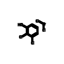 Oc1cccc(Cl)c1Cl.[Cl][Zr][Cl]